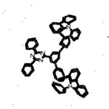 c1ccc(-c2nc(-c3ccccc3)nc(-c3cc(-c4cccc(-c5cccc6c7ccccc7n(-c7ccccc7)c56)c4)cc(-c4cccc(-c5cccc6c7ccccc7n(-c7ccccc7)c56)c4)c3)n2)cc1